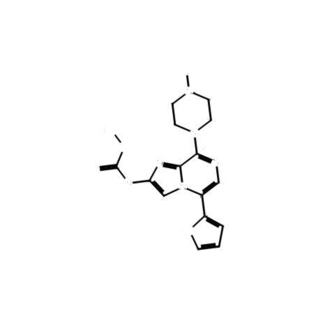 CC(C)(C)OC(=O)Nc1cn2c(-c3cccs3)cnc(N3CCN(C(=O)O)CC3)c2n1